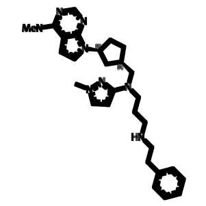 CNc1ncnc2c1ccn2[C@H]1CC[C@@H](CN(CCCNCCc2ccccc2)c2ccn(C)n2)C1